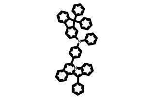 c1ccc(-c2c3ccccc3n3c(-c4ccc(N(c5ccccc5)c5ccc6c(c5)C(c5ccccc5)(c5ccccc5)c5ccccc5-6)cc4)cc4ccccc4c23)cc1